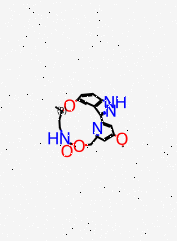 COc1cc2nc(c1)-c1n[nH]c3ccc(cc13)O[C@H](C)CCNC(=O)OC2